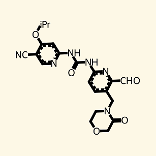 CC(C)Oc1cc(NC(=O)Nc2ccc(CN3CCOCC3=O)c(C=O)n2)ncc1C#N